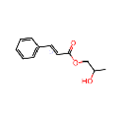 CC(O)COC(=O)/C=C/c1ccccc1